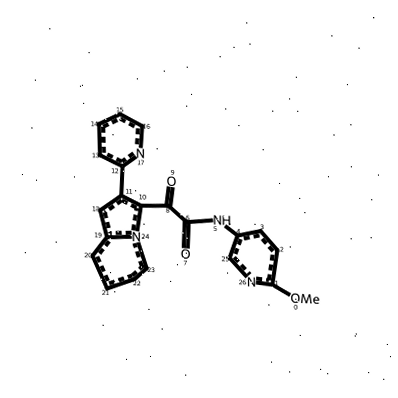 COc1ccc(NC(=O)C(=O)c2c(-c3ccccn3)cc3ccccn23)cn1